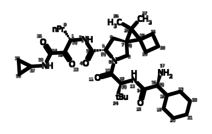 CCC[C@H](NC(=O)[C@@H]1C[C@@]2(CN1C(=O)[C@@H](NC(=O)[C@@H](N)C1CCCCC1)C(C)(C)C)C(C)(C)C21CCC1)C(=O)C(=O)NC1CC1